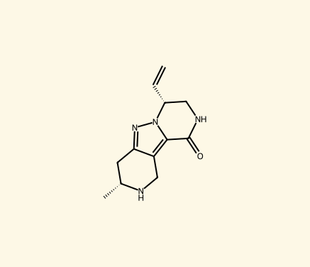 C=C[C@@H]1CNC(=O)c2c3c(nn21)C[C@@H](C)NC3